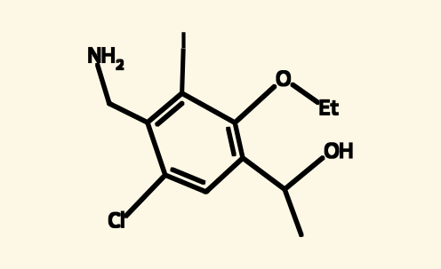 CCOc1c(C(C)O)cc(Cl)c(CN)c1I